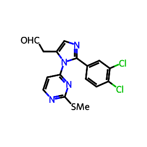 CSc1nccc(-n2c(CC=O)cnc2-c2ccc(Cl)c(Cl)c2)n1